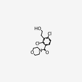 O=C(c1ccc(Cl)c(CCO)c1Cl)N1CCOCC1